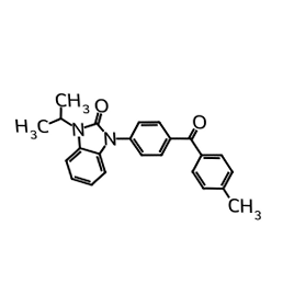 Cc1ccc(C(=O)c2ccc(-n3c(=O)n(C(C)C)c4ccccc43)cc2)cc1